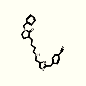 N#Cc1ccc(Cc2ncc(CNCCCCC3CCN(Cc4ccccc4)C3=O)[nH]2)cc1